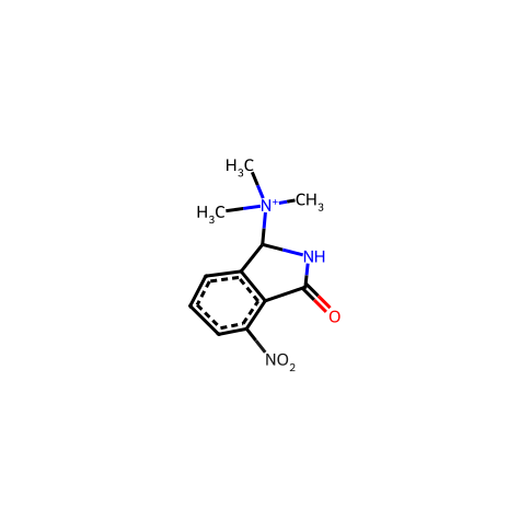 C[N+](C)(C)C1NC(=O)c2c1cccc2[N+](=O)[O-]